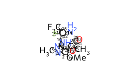 COc1cc2nc(C)nc(NCc3cc(N)cc(C(F)(F)F)c3F)c2cc1OC(C)(C)C1CCOC1